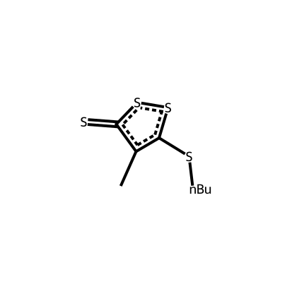 CCCCSc1ssc(=S)c1C